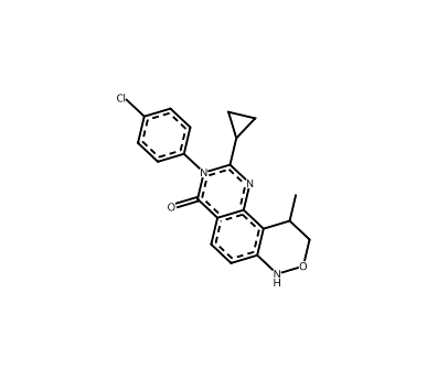 CC1CONc2ccc3c(=O)n(-c4ccc(Cl)cc4)c(C4CC4)nc3c21